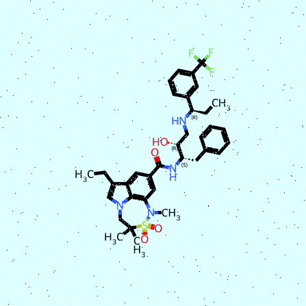 CCc1cn2c3c(cc(C(=O)N[C@@H](Cc4ccccc4)[C@H](O)CN[C@H](CC)c4cccc(C(F)(F)F)c4)cc13)N(C)S(=O)(=O)C(C)(C)C2